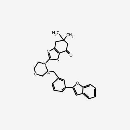 CC1(C)CC(=O)c2sc(N3CCOC[C@@H]3Cc3cccc(-c4cc5ccccc5o4)c3)nc2C1